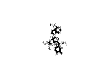 Cc1ncnc2c1ccn2[C@@H]1O[C@H]([C@H](N)c2ccc(F)c(F)c2)[C@H]2OC(C)(C)O[C@H]21